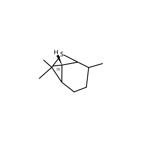 CC1CCC2[C@H](C)C1SC2(C)C